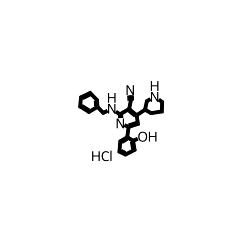 Cl.N#Cc1c(C2CCCNC2)cc(-c2ccccc2O)nc1NCc1ccccc1